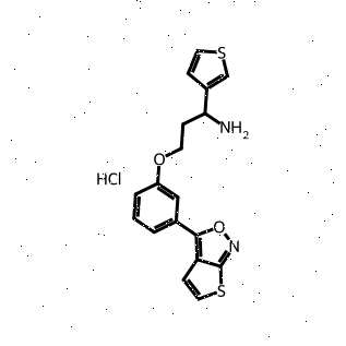 Cl.NC(CCOc1cccc(-c2onc3sccc23)c1)c1ccsc1